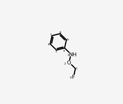 FCONc1ccccc1